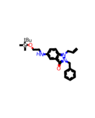 C=CCn1c2ccc(NCCO[Si](C)(C)C(C)(C)C)cc2c(=O)n1Cc1ccccc1